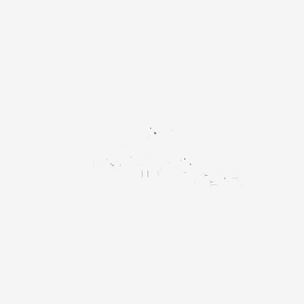 C=C[C@@H]1CN2CCC1CC2[C@H](O)c1ccnc2ccc(OC)cc12